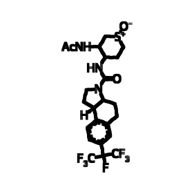 CC(=O)NC1C[S+]([O-])CCC1NC(=O)N1CC[C@H]2c3ccc(C(F)(C(F)(F)F)C(F)(F)F)cc3CCC21